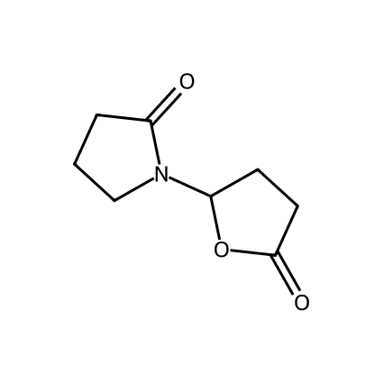 O=C1CCC(N2CCCC2=O)O1